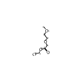 COCCOCC(=O)OCCl